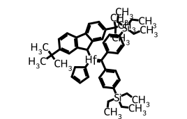 CC[Si](CC)(CC)c1ccc([C](c2ccc([Si](CC)(CC)CC)cc2)=[Hf]([C]2=CC=CC2)[CH]2c3cc(C(C)(C)C)ccc3-c3ccc(C(C)(C)C)cc32)cc1